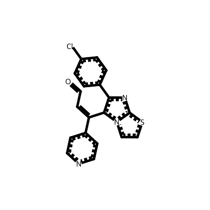 O=C/C=C(/c1ccncc1)c1c(-c2ccc(Cl)cc2)nc2sccn12